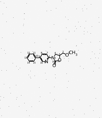 COCC1CN(c2ccc(-c3ccccc3)cn2)C(=O)O1